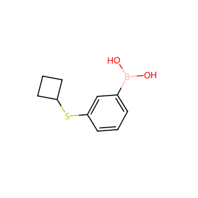 OB(O)c1cccc(SC2CCC2)c1